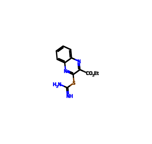 CCOC(=O)c1nc2ccccc2nc1SC(=N)N